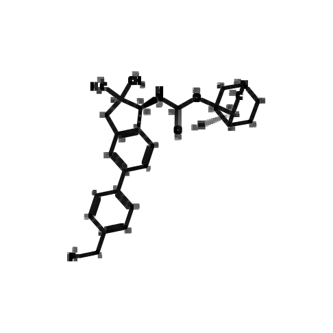 CC(C)Cc1ccc(-c2ccc3c(c2)CC(C)(C)[C@H]3NC(=O)O[C@H]2CN3CCC2CC3)cc1